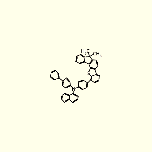 CC1(C)c2ccccc2-c2c1ccc1c2sc2c(-c3ccc(N(c4ccc(-c5ccccc5)cc4)c4cccc5ccccc45)cc3)cccc21